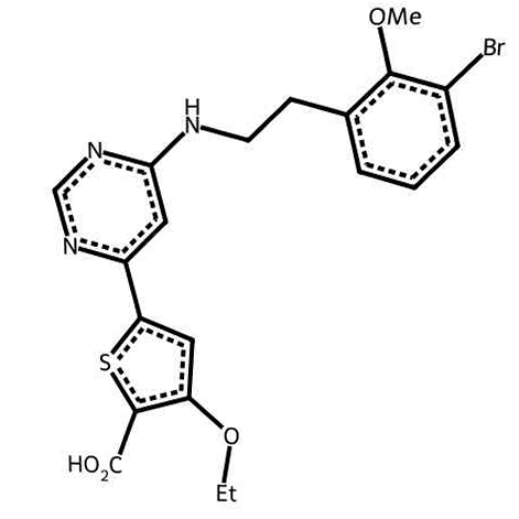 CCOc1cc(-c2cc(NCCc3cccc(Br)c3OC)ncn2)sc1C(=O)O